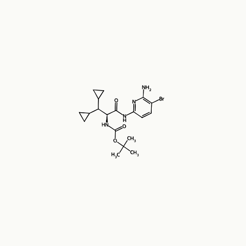 CC(C)(C)OC(=O)N[C@H](C(=O)Nc1ccc(Br)c(N)n1)C(C1CC1)C1CC1